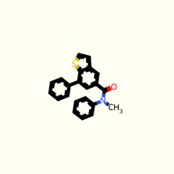 CN(C(=O)c1cc(-c2ccccc2)c2sccc2c1)c1ccccc1